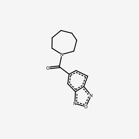 O=C(c1ccc2nonc2c1)N1CCCCCC1